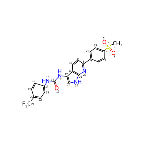 CS(=O)(=O)c1ccc(-c2ccc3c(NC(=O)Nc4ccc(C(F)(F)F)cc4)c[nH]c3n2)cc1